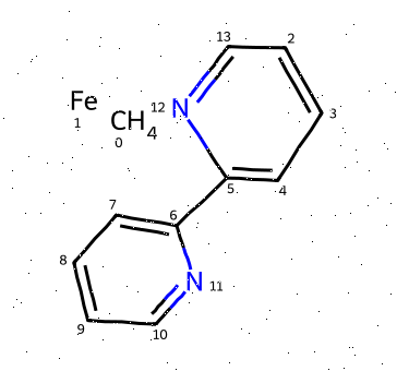 C.[Fe].c1ccc(-c2ccccn2)nc1